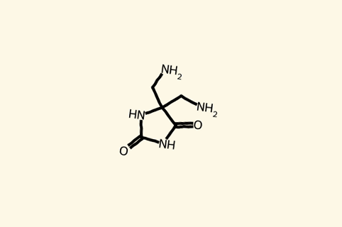 NCC1(CN)NC(=O)NC1=O